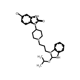 CC(C)OC1Nc2ccccc2N1CCCN1CCC(n2c(=O)[nH]c3cc(Cl)ccc32)CC1